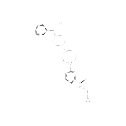 CC(c1ccccc1)N1CCC(N2CCCN(c3cccc(C(=O)NCC4CC4)n3)CC2)CC1